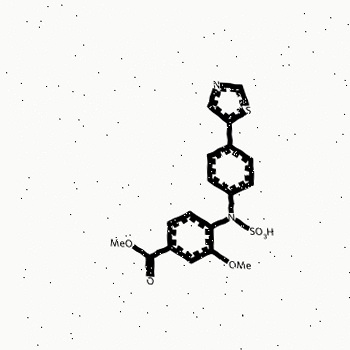 COC(=O)c1ccc(N(c2ccc(-c3cncs3)cc2)S(=O)(=O)O)c(OC)c1